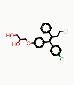 OCC(O)COc1ccc(C(=C(CCCl)c2ccccc2)c2ccc(Cl)cc2)cc1